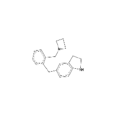 c1ccc(CN2CCC2)c(Cc2ccc3c(c2)CCN3)c1